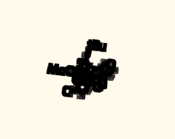 CC[C@](Nc1cc(C#CC(C)(C)C)sc1C(=O)OC)(C(=O)c1ccc(Cl)cc1Cl)C(=O)N1CCOCC1